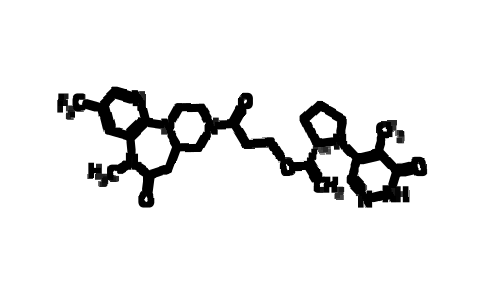 C=C(OCCC(=O)N1CCN2c3ncc(C(F)(F)F)cc3N(C)C(=O)CC2C1)[C@@H]1CCCN1c1cn[nH]c(=O)c1C(F)(F)F